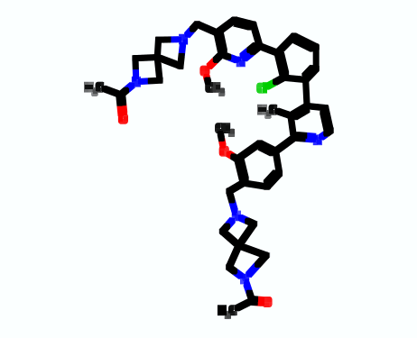 COc1cc(-c2nccc(-c3cccc(-c4ccc(CN5CC6(C5)CN(C(C)=O)C6)c(OC)n4)c3Cl)c2C)ccc1CN1CC2(C1)CN(C(C)=O)C2